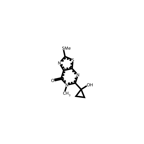 CSc1nc2c(=O)n(C)c(C3(O)CC3)nc2s1